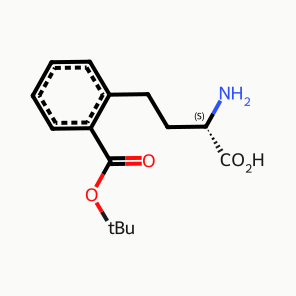 CC(C)(C)OC(=O)c1ccccc1CC[C@H](N)C(=O)O